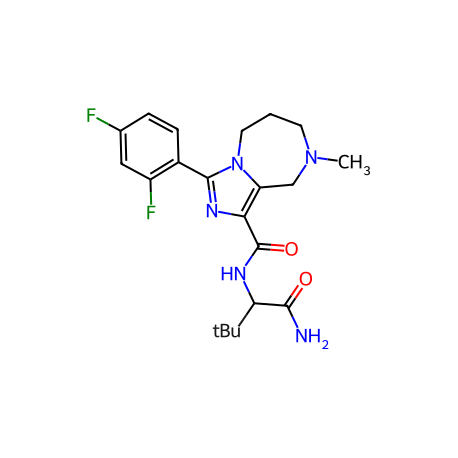 CN1CCCn2c(-c3ccc(F)cc3F)nc(C(=O)NC(C(N)=O)C(C)(C)C)c2C1